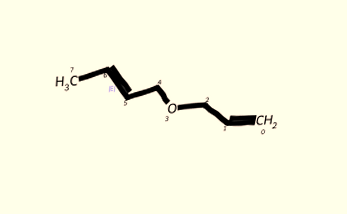 C=C[CH]OC/C=C/C